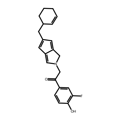 O=C(CN1C=C2C=C(CC3C=CCCC3)C=C2C1)c1ccc(O)c(F)c1